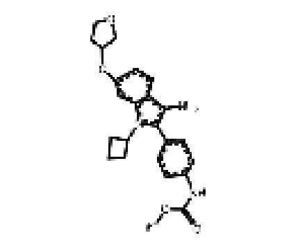 CC(C)OC(=O)Nc1ccc(-c2c(N)c3ccc(OC4CCOC4)cc3n2C2CCC2)cc1